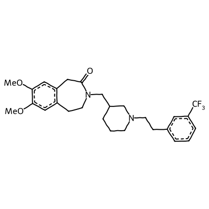 COc1cc2c(cc1OC)CC(=O)N(CC1CCCN(CCc3cccc(C(F)(F)F)c3)C1)CC2